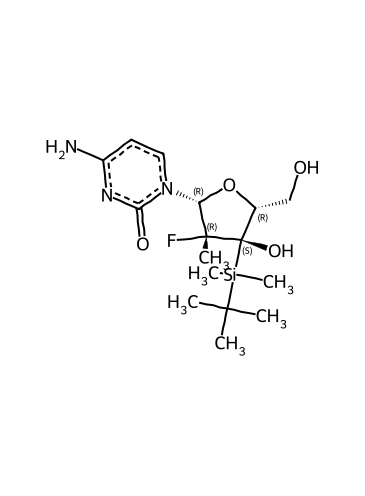 CC(C)(C)[Si](C)(C)[C@@]1(O)[C@@H](CO)O[C@@H](n2ccc(N)nc2=O)[C@@]1(C)F